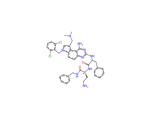 CN(C)Cc1cn(Cc2c(Cl)cccc2Cl)c2ccc3nc(NC(Cc4ccccc4)C(=O)N[C@@H](CCN)C(=O)NCc4ccccc4)nc(N)c3c12